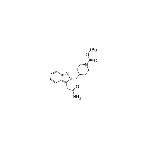 CC(C)(C)OC(=O)N1CCC(Cn2nc3ccccc3c2CC(N)=O)CC1